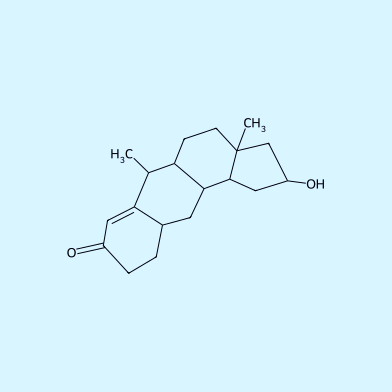 CC1C2=CC(=O)CCC2CC2C1CCC1(C)CC(O)CC21